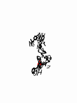 Cc1ncsc1-c1ccc([C@H](C)NC(=O)[C@@H]2CCCN2C(=O)[C@@H](c2cc(N3CCC(CN4CC5(CN(CC6CC(Oc7cc(N8C9CCC8CN(c8cc(-c%10ccccc%10O)nnc8N)C9)ccn7)C6)CCO5)C4)CC3)no2)C(C)C)cc1